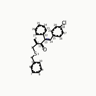 C=C(CSCc1ccccc1)C(=O)/C(=C/c1ccc(Cl)cc1)c1ccccc1